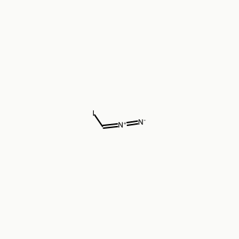 [N-]=[N+]=CI